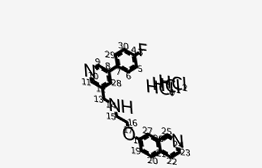 Cl.Cl.Cl.Fc1ccc(-c2cncc(CNCCOc3ccc4ccncc4c3)c2)cc1